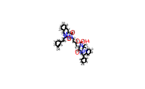 CC(C)(C)N(C(=O)O)[C@@H](CCCCNC(=O)[C@@H]1Cc2ccccc2CN1C(=O)CCc1ccccc1)C(=O)NCC(c1ccccc1)c1ccccc1